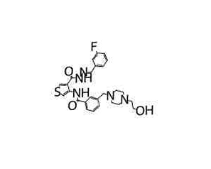 O=C(Nc1cscc1C(=O)NN=Cc1cccc(F)c1)c1cccc(CN2CCN(CCO)CC2)c1